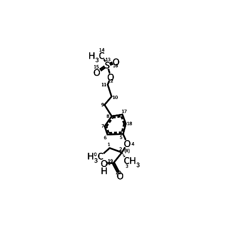 CC[C@@](C)(Oc1ccc(CCCOS(C)(=O)=O)cc1)C(=O)O